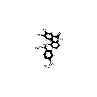 COc1ccc([C@@H](C)NC2CCCc3[nH]c(=O)c4cc(F)c(F)cc4c32)cc1